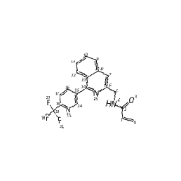 C=CC(=O)NCc1cc2ccccc2c(-c2ccc(C(F)(F)F)nc2)n1